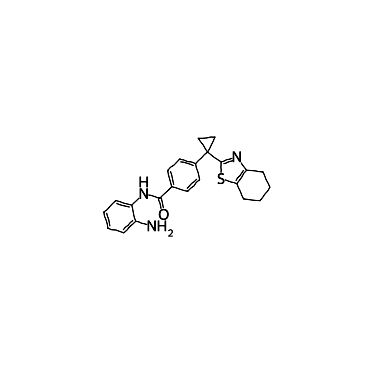 Nc1ccccc1NC(=O)c1ccc(C2(c3nc4c(s3)CCCC4)CC2)cc1